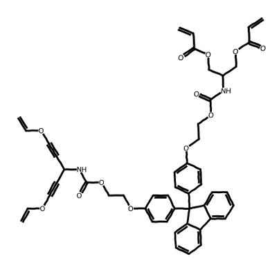 C=COC#CC(C#COC=C)NC(=O)OCCOc1ccc(C2(c3ccc(OCCOC(=O)NC(COC(=O)C=C)COC(=O)C=C)cc3)c3ccccc3-c3ccccc32)cc1